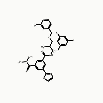 CCCN(CCC)C(=O)c1cc(C(=O)N[C@@H](Cc2cc(F)cc(F)c2)C(N)COCc2cccc(C(F)(F)F)c2)cc(-c2ncco2)c1